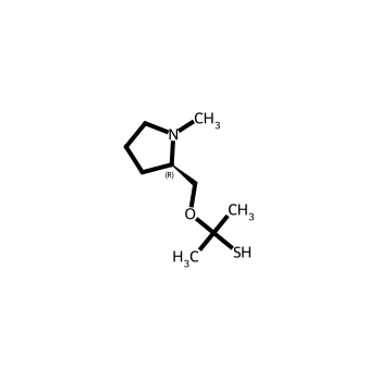 CN1CCC[C@@H]1COC(C)(C)S